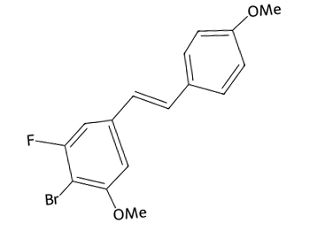 COc1ccc(C=Cc2cc(F)c(Br)c(OC)c2)cc1